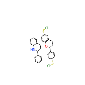 ClSc1ccc(C2CCc3cc(SCl)ccc3O2)cc1.c1ccc(C2CCc3ccccc3N2)cc1